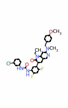 CCn1c(=O)c(-c2cc(NC(=O)Nc3cccc(Cl)c3)c(F)cc2F)cc2cnc(N(C)Cc3ccc(OC)cc3)cc21